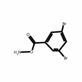 NOC(=O)c1cc(Br)cc(Br)c1